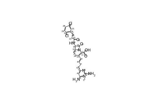 C[n+]1c(N)cc(SCC=CC2=C(C(=O)O)N3C(=O)C(NC(=O)CSc4cc(Cl)ccc4Cl)C3SC2)nc1N